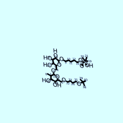 CC1C(OCC2OC(OCCCCCOP(=O)(O)C(C)(C)C)C(O)C(O)C2O)OC(COCCCCOC(C)(C)C)C(O)C1O